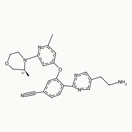 Cc1cc(Oc2cc(C#N)ccc2-c2ncc(CCN)cn2)cc(N2CCOC[C@@H]2C)n1